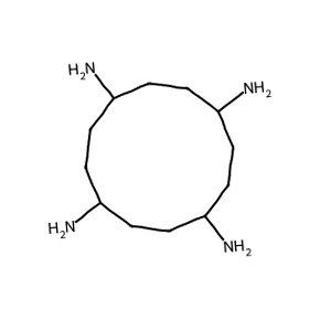 NC1CCC(N)CCC(N)CCC(N)CC1